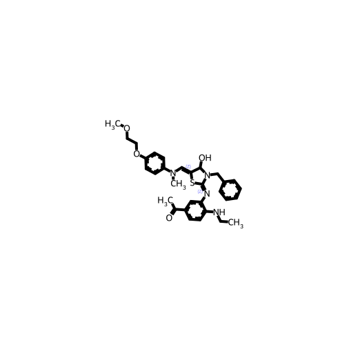 CCNc1ccc(C(C)=O)cc1/N=C1\S/C(=C\N(C)c2ccc(OCCOC)cc2)C(O)N1Cc1ccccc1